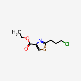 CCOC(=O)c1csc(CCCCl)n1